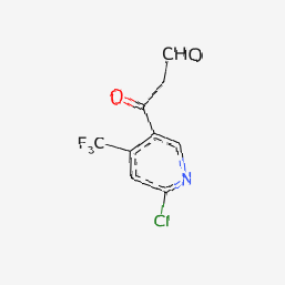 O=CCC(=O)c1cnc(Cl)cc1C(F)(F)F